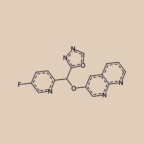 Fc1ccc(C(Oc2cnc3ncccc3c2)c2nnco2)nc1